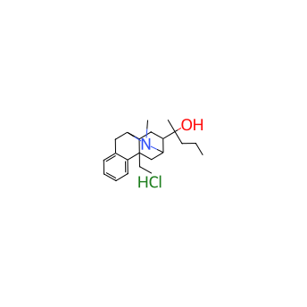 CCCC(C)(O)C1CC2C3Cc4ccccc4C2(CC)CC1N3C.Cl